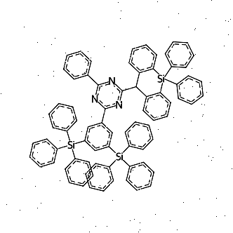 c1ccc(-c2nc(-c3cc([Si](c4ccccc4)(c4ccccc4)c4ccccc4)cc([Si](c4ccccc4)(c4ccccc4)c4ccccc4)c3)nc(C3c4ccccc4[Si](c4ccccc4)(c4ccccc4)c4ccccc43)n2)cc1